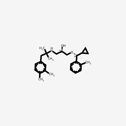 Cc1ccc(CC(C)(C)NC[C@@H](O)CO[C@@H](c2ccccc2C)C2CC2)cc1C